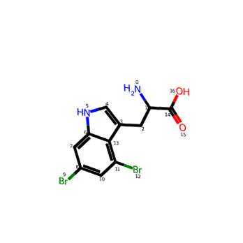 NC(Cc1c[nH]c2cc(Br)cc(Br)c12)C(=O)O